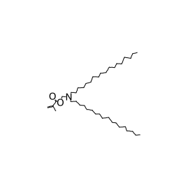 C=C(C)C(=O)OCN(CCCCCCCCCCCCCCCCCC)CCCCCCCCCCCCCCCCCC